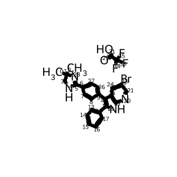 CC1(C)CNC(c2ccc(-c3c(-c4ccccc4)[nH]c4ncc(Br)cc34)cc2)=N1.O=C(O)C(F)(F)F